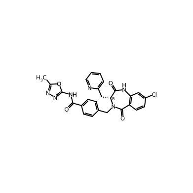 Cc1nnc(NC(=O)c2ccc(CN3C(=O)c4ccc(Cl)cc4NC(=O)[C@H]3Cc3ccccn3)cc2)o1